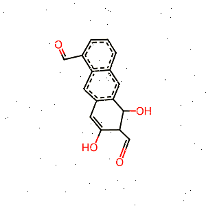 O=Cc1cccc2cc3c(cc12)C=C(O)C(C=O)C3O